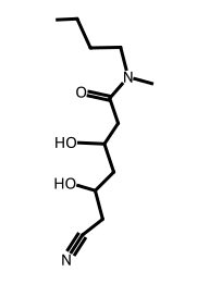 CCCCN(C)C(=O)CC(O)CC(O)CC#N